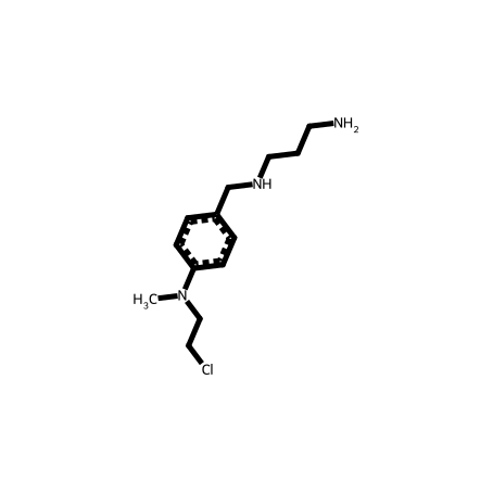 CN(CCCl)c1ccc(CNCCCN)cc1